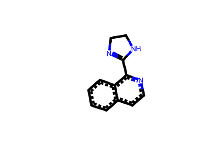 c1ccc2c(C3=NCCN3)nccc2c1